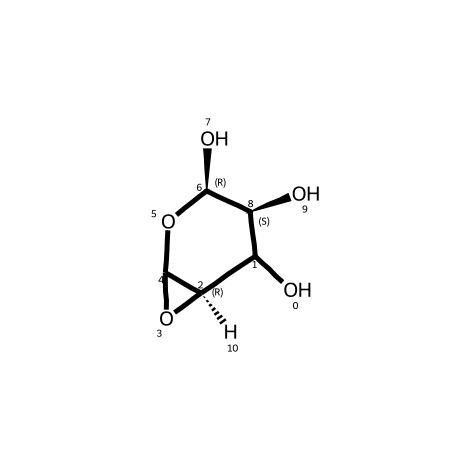 OC1[C@H]2OC2O[C@@H](O)[C@H]1O